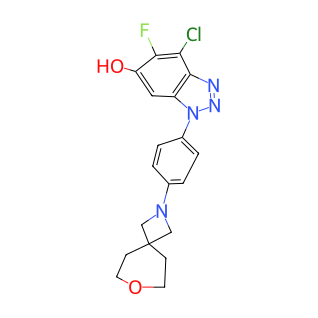 Oc1cc2c(nnn2-c2ccc(N3CC4(CCOCC4)C3)cc2)c(Cl)c1F